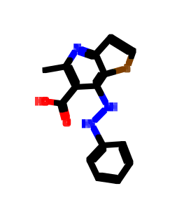 Cc1nc2ccsc2c(NNc2ccccc2)c1C(=O)O